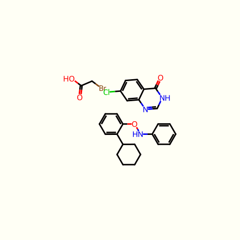 O=C(O)CBr.O=c1[nH]cnc2cc(Cl)ccc12.c1ccc(NOc2ccccc2C2CCCCC2)cc1